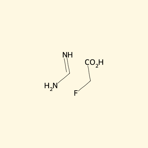 N=CN.O=C(O)CF